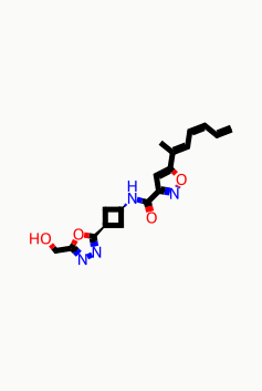 C=C/C=C\C=C(/C)c1cc(C(=O)N[C@H]2C[C@H](c3nnc(CO)o3)C2)no1